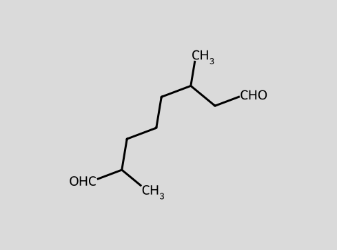 CC(C=O)CCCC(C)CC=O